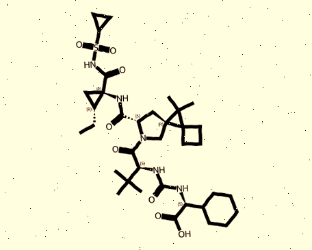 CC[C@@H]1C[C@]1(NC(=O)[C@@H]1C[C@@]2(CN1C(=O)[C@@H](NC(=O)N[C@H](C(=O)O)C1CCCCC1)C(C)(C)C)C(C)(C)C21CCC1)C(=O)NS(=O)(=O)C1CC1